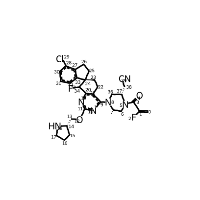 C=C(F)C(=O)N1CCN(c2nc(OC[C@@H]3CCCN3)nc3c2CC[C@@]2(CCc4c(Cl)cccc42)C3F)C[C@@H]1CC#N